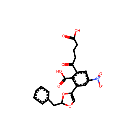 O=C(O)CCCC(=O)c1cc([N+](=O)[O-])cc(C2=COC(Cc3ccccc3)O2)c1C(=O)O